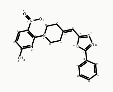 Cc1ccc([N+](=O)[O-])c(N2CCC(=Cc3nnc(-c4ccccc4)o3)CC2)n1